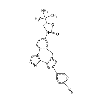 CC(C)(N)C1CN(c2ccc3c(c2)Cn2cc(-c4ccc(C#N)cc4)cc2-c2nccn2-3)C(=O)O1